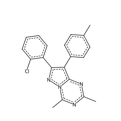 Cc1ccc(-c2c(-c3ccccc3Cl)nn3c(C)nc(C)nc23)cc1